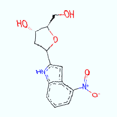 O=[N+]([O-])c1cccc2[nH]c(C3C[C@H](O)[C@@H](CO)O3)cc12